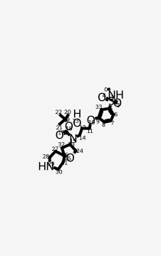 CNS(=O)(=O)c1cccc(OC[C@@H](O)CN(C(=O)OC(C)(C)C)[C@H]2COC3(CCNCC3)C2)c1